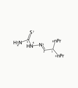 CCCC(C=NNC(N)=S)CCC